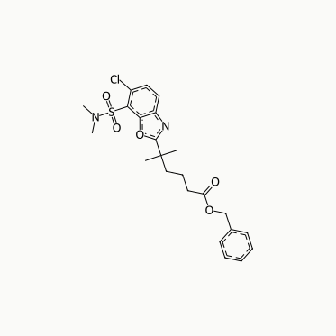 CN(C)S(=O)(=O)c1c(Cl)ccc2nc(C(C)(C)CCCC(=O)OCc3ccccc3)oc12